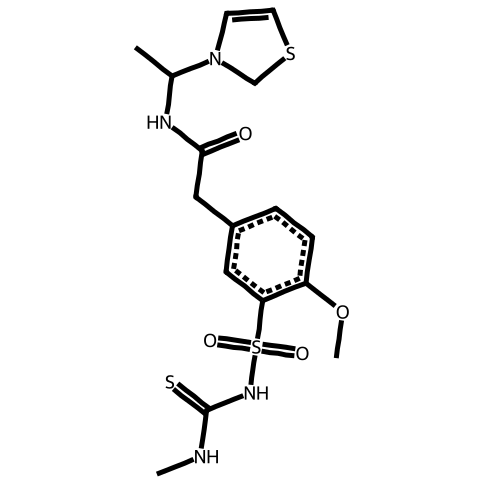 CNC(=S)NS(=O)(=O)c1cc(CC(=O)NC(C)N2C=CSC2)ccc1OC